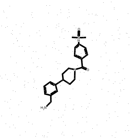 C[SH](C)(=O)c1ccc(C(=O)N2CCC(c3cccc(CN)c3)CC2)cc1